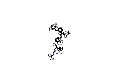 COC(=O)N[C@@H](CC/C=C/C(=O)N(C)C)C(=O)Nc1cccn(Cc2nc3c(CC(C(F)(F)F)C(F)(F)F)cccc3n2C(=O)OC(C)(C)C)c1=O